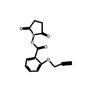 C#CCOc1ccccc1C(=O)ON1C(=O)CCC1=O